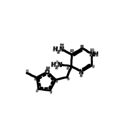 Cc1ccc(CC2(N)N=CNC=C2N)o1